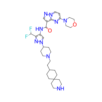 O=C(Nc1cn(C2CCN(CCC3CCC4(CCNCC4)CC3)CC2)nc1C(F)F)c1cnn2ccc(N3CCOCC3)nc12